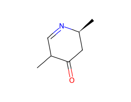 CC1C=N[C@@H](C)CC1=O